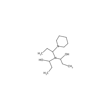 CCC(O)N(C(O)CC)C(CC)N1CCCCC1